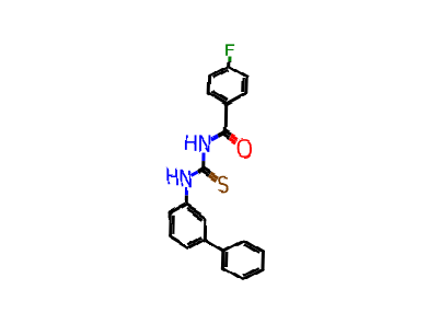 O=C(NC(=S)Nc1cccc(-c2ccccc2)c1)c1ccc(F)cc1